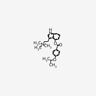 CC(C)Oc1ccc(C(=O)Oc2cccc3[nH]cc(CC[N+](C)(C)C)c23)cc1